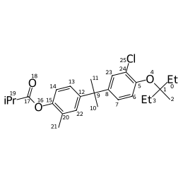 CCC(C)(CC)Oc1ccc(C(C)(C)c2ccc(OC(=O)C(C)C)c(C)c2)cc1Cl